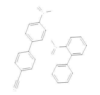 N#Cc1ccc(-c2ccc([N+](=O)[O-])cc2)cc1.O=[N+]([O-])c1ccccc1-c1ccccc1